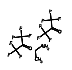 C[CH2][AlH2].O=C(C(F)(F)F)C(F)(F)F.O=C(C(F)(F)F)C(F)(F)F